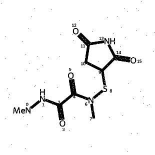 CNNC(=O)C(=O)N(C)SC1CC(=O)NC1=O